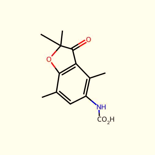 Cc1cc(NC(=O)O)c(C)c2c1OC(C)(C)C2=O